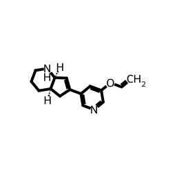 C=COc1cncc(C2=C[C@@H]3NCCC[C@@H]3C2)c1